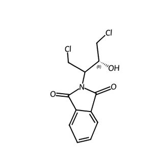 O=C1c2ccccc2C(=O)N1C(CCl)[C@@H](O)CCl